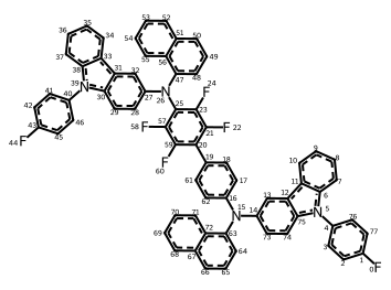 Fc1ccc(-n2c3ccccc3c3cc(N(c4ccc(-c5c(F)c(F)c(N(c6ccc7c(c6)c6ccccc6n7-c6ccc(F)cc6)c6cccc7ccccc67)c(F)c5F)cc4)c4cccc5ccccc45)ccc32)cc1